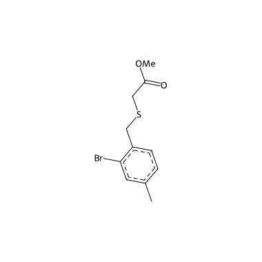 COC(=O)CSCc1ccc(C)cc1Br